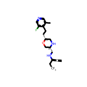 C=C=C(CC(F)(F)F)NC[C@@H]1CO[C@H](CCc2c(C)cncc2F)CN1